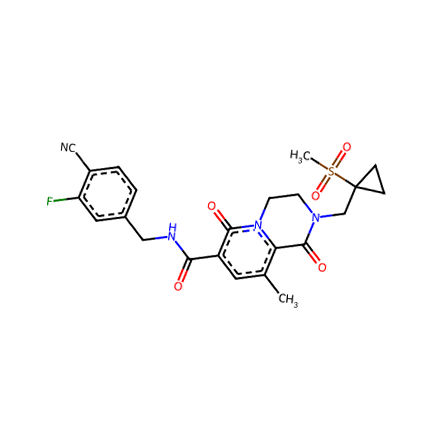 Cc1cc(C(=O)NCc2ccc(C#N)c(F)c2)c(=O)n2c1C(=O)N(CC1(S(C)(=O)=O)CC1)CC2